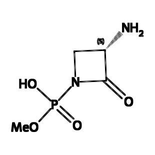 COP(=O)(O)N1C[C@H](N)C1=O